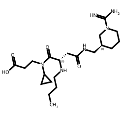 CCCCN[C@@H](CC(=O)NC[C@@H]1CCCN(C(=N)N)C1)C(=O)N(CCC(=O)O)C1CC1